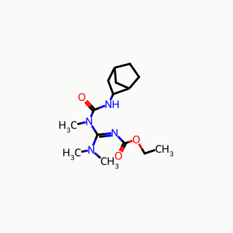 CCOC(=O)N=C(N(C)C)N(C)C(=O)NC1CC2CCC1C2